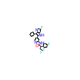 O=C(Nc1cc(-c2[nH]c3cc(F)cnc3c2-c2ccccc2)ccn1)C(CC(F)F)c1ccc(F)cc1